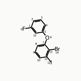 Fc1cccc(Oc2cccc(I)c2Br)c1